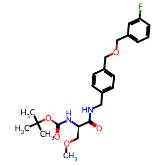 COC[C@@H](NC(=O)OC(C)(C)C)C(=O)NCc1ccc(COCc2cccc(F)c2)cc1